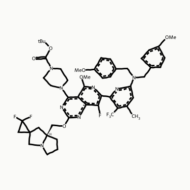 COc1ccc(CN(Cc2ccc(OC)cc2)c2cc(C)c(C(F)(F)F)c(-c3nc(OC)c4c(N5CCN(C(=O)OC(C)(C)C)CC5)nc(OC[C@@]56CCCN5CC5(CC5(F)F)C6)nc4c3F)n2)cc1